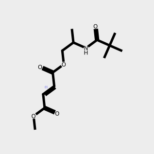 COC(=O)/C=C/C(=O)OCC(C)NC(=O)C(C)(C)C